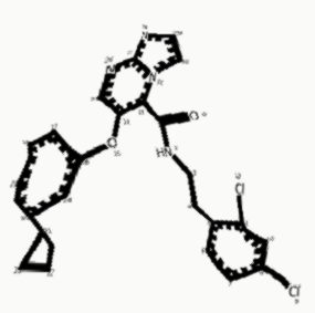 O=C(NCCc1ccc(Cl)cc1Cl)c1c(Oc2cccc(C3CC3)c2)cnc2nccn12